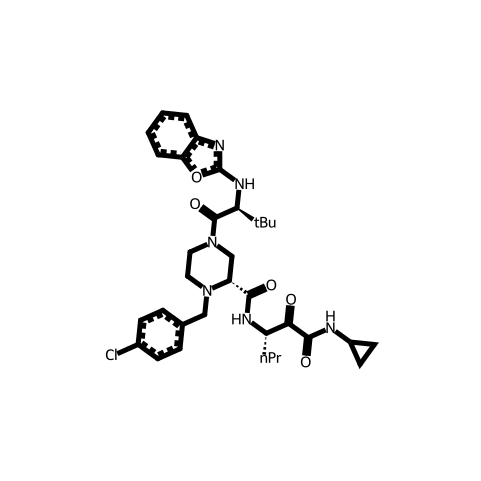 CCC[C@H](NC(=O)[C@H]1CN(C(=O)[C@@H](Nc2nc3ccccc3o2)C(C)(C)C)CCN1Cc1ccc(Cl)cc1)C(=O)C(=O)NC1CC1